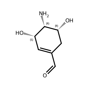 N[C@@H]1[C@H](O)CC(C=O)=C[C@@H]1O